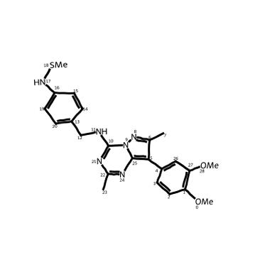 COc1ccc(-c2c(C)nn3c(NCc4ccc(NSC)cc4)nc(C)nc23)cc1OC